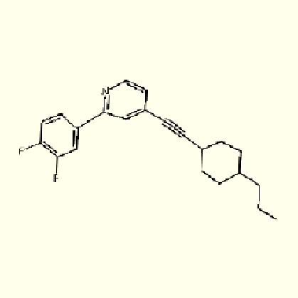 CCCC1CCC(C#Cc2ccnc(-c3ccc(F)c(F)c3)c2)CC1